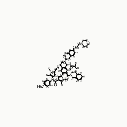 Cc1c(N(C(=O)c2cc(-c3cc4c(cc3C(=O)N3Cc5ccccc5C[C@H]3CN(C)C(C)C)CN(C(=O)Cc3ccc(OCCN5CCOCC5)cc3F)CC4)n(C)c2C)c2ccc(O)cc2)cc(C#N)n1C